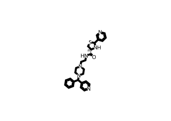 O=C(NCCN1CCN(C(c2ccccc2)c2ccncc2)CC1)[C@@H]1CSC(c2cccnc2)N1